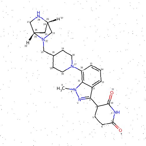 Cn1nc(C2CCC(=O)NC2=O)c2cccc(N3CCC(CN4C[C@@H]5C[C@H]4CN5)CC3)c21